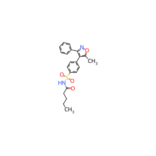 CCCCC(=O)NS(=O)(=O)c1ccc(-c2c(-c3ccccc3)noc2C)cc1